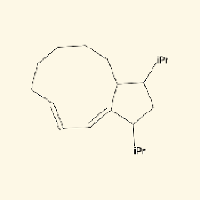 CC(C)C1CC(C(C)C)C2CCCCC/C=C/C=C/12